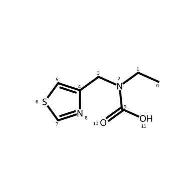 CCN(Cc1cscn1)C(=O)O